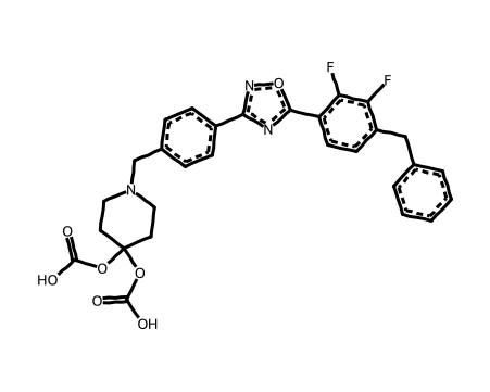 O=C(O)OC1(OC(=O)O)CCN(Cc2ccc(-c3noc(-c4ccc(Cc5ccccc5)c(F)c4F)n3)cc2)CC1